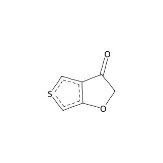 O=C1COc2cscc21